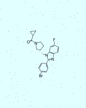 O=C(C1CC1)N1CC[C@H](Cn2c(-c3ccc(Br)cc3)nc3ccc(F)cc32)C1